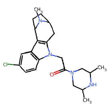 CC1CN(C(=O)Cn2c3c(c4cc(Cl)ccc42)C2CCC(C3)N2C)CC(C)N1